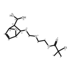 CCC(C)(C)C(=O)OCCOCOC1C2C=CC(O2)C1C(O)O